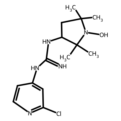 CC1(C)CC(NC(=N)Nc2ccnc(Cl)c2)C(C)(C)N1O